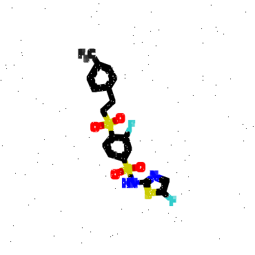 O=S(=O)(CCc1ccc(C(F)(F)F)cc1)c1ccc(S(=O)(=O)Nc2ncc(F)s2)cc1F